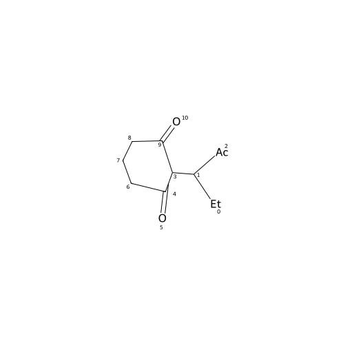 CCC(C(C)=O)C1C(=O)CCCC1=O